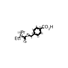 CCN(C(=S)SCc1ccc(C(=O)O)cc1)C(C)C